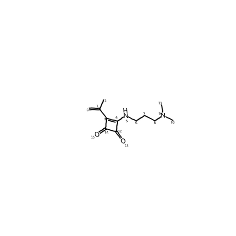 C=C(C)c1c(NCCCN(C)C)c(=O)c1=O